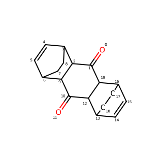 O=C1C2C3C=CC(CC3)C2C(=O)C2C3C=CC(CC3)C12